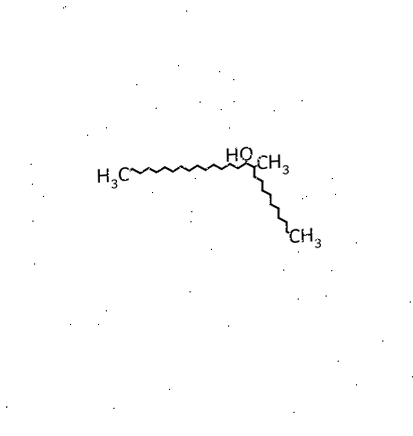 CCCCCCCCCCCCCCCC(O)C(C)CCCCCCCCCC